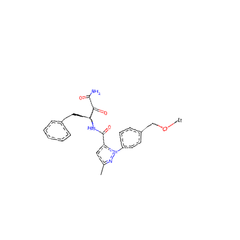 CCOCc1ccc(-n2nc(C)cc2C(=O)N[C@@H](Cc2ccccc2)C(=O)C(N)=O)cc1